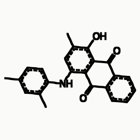 Cc1ccc(Nc2cc(C)c(O)c3c2C(=O)c2ccccc2C3=O)c(C)c1